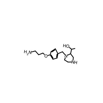 CC(O)C1CNCCN1Cc1ccc(OCCCN)cc1